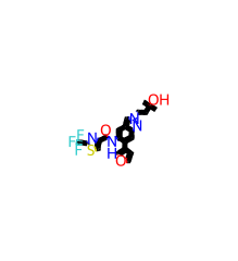 CC(C)(O)CCn1cc2cc(NC(=O)c3csc(C(F)(F)F)n3)c(-c3ccoc3)cc2n1